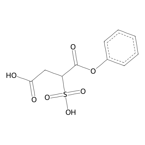 O=C(O)CC(C(=O)Oc1ccccc1)S(=O)(=O)O